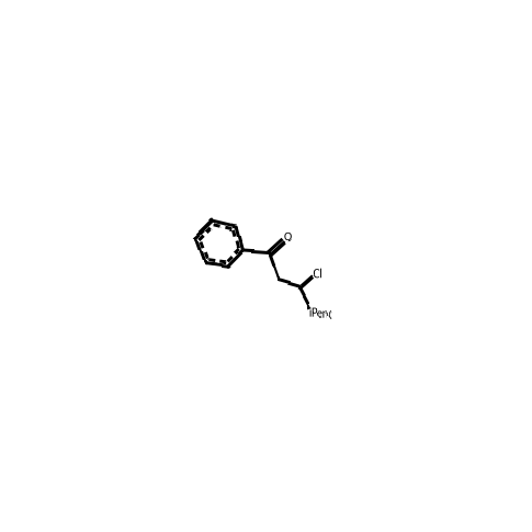 CCCC(C)C(Cl)CC(=O)c1ccccc1